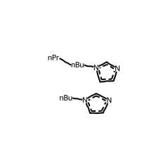 CCCC.CCCCn1ccnc1.CCCCn1ccnc1